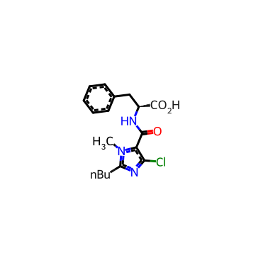 CCCCc1nc(Cl)c(C(=O)N[C@@H](Cc2ccccc2)C(=O)O)n1C